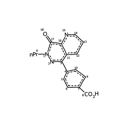 CCCn1nc(-c2ccc(C(=O)O)cc2)c2cccnc2c1=O